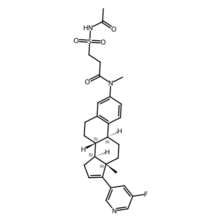 CC(=O)NS(=O)(=O)CCC(=O)N(C)c1ccc2c(c1)CC[C@@H]1[C@@H]2CC[C@]2(C)C(c3cncc(F)c3)=CC[C@@H]12